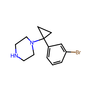 Brc1cccc(C2(N3CCNCC3)CC2)c1